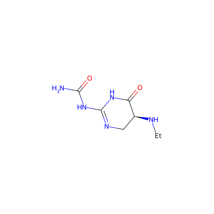 CCN[C@H]1CN=C(NC(N)=O)NC1=O